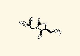 CC=C1SC(=S)N(CC(=O)O)C1=O